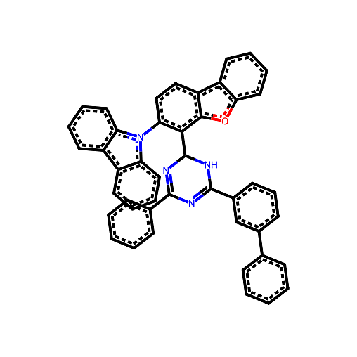 c1ccc(C2=NC(c3c(-n4c5ccccc5c5ccccc54)ccc4c3oc3ccccc34)NC(c3cccc(-c4ccccc4)c3)=N2)cc1